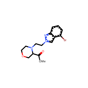 COC(=O)C1COCCN1CCn1cc2c(Br)cccc2n1